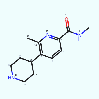 CNC(=O)c1ccc(C2CCNCC2)c(C)n1